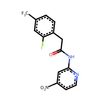 O=C(Cc1ccc(C(F)(F)F)cc1F)Nc1cc([N+](=O)[O-])ccn1